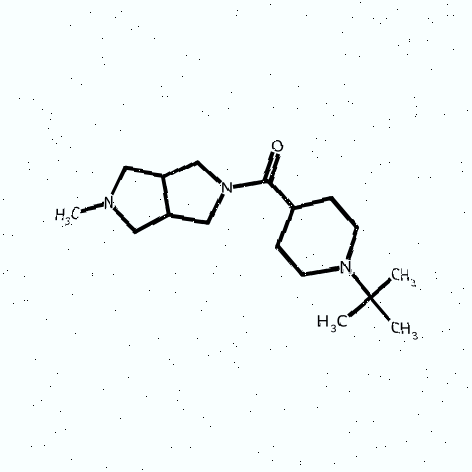 CN1CC2CN(C(=O)C3CCN(C(C)(C)C)CC3)CC2C1